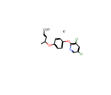 CC(C=CC(=O)[O-])Oc1ccc(Oc2ncc(Cl)cc2Cl)cc1.[K+]